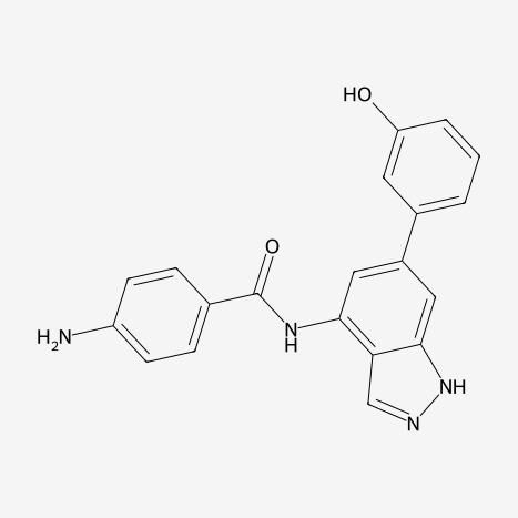 Nc1ccc(C(=O)Nc2cc(-c3cccc(O)c3)cc3[nH]ncc23)cc1